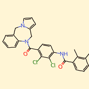 Cc1cccc(C(=O)Nc2ccc(C(=O)N3Cc4cccn4Cc4ccccc43)c(Cl)c2Cl)c1C